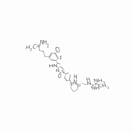 C[C@H](N)CCCc1cc(Cl)c(F)c(-c2cc3cn(-c4ccc([C@@H]5CCC[C@@H](CCNC(=N)[C@@H](C)N)N5)cc4)c(=O)nc3[nH]2)c1